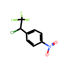 O=[N+]([O-])c1ccc(C(Cl)C(F)(F)F)cc1